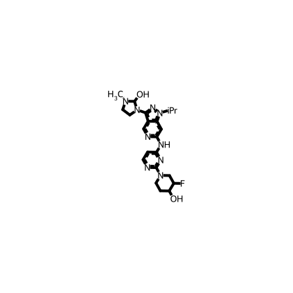 CC(C)n1nc(N2CCN(C)C2O)c2cnc(Nc3ccnc(N4CCC(O)C(F)C4)n3)cc21